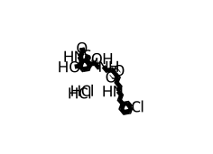 Cl.Cl.O=c1[nH]c2c(O)ccc([C@@H](O)CNCCS(=O)(=O)CCCNCCc3cccc(Cl)c3)c2s1